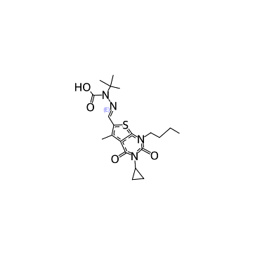 CCCCn1c(=O)n(C2CC2)c(=O)c2c(C)c(/C=N/N(C(=O)O)C(C)(C)C)sc21